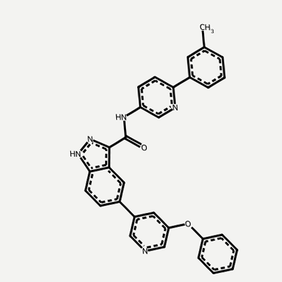 Cc1cccc(-c2ccc(NC(=O)c3n[nH]c4ccc(-c5cncc(Oc6ccccc6)c5)cc34)cn2)c1